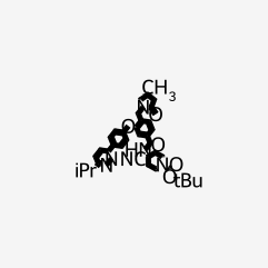 CC(C)c1ccc(-c2ccc(Oc3cc(C(=O)NC4(C#N)CCN(C(=O)OC(C)(C)C)CC4)ccc3CN3C[C@@H](C)CC3=O)cc2)nn1